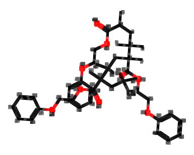 CC(CC(C)(C)C(C)(CC(C)(C)C(C)(CC(C)(C)C#N)C(=O)OCCOc1ccccc1)C(=O)OCCOc1ccccc1)C(=O)OCCOc1ccccc1